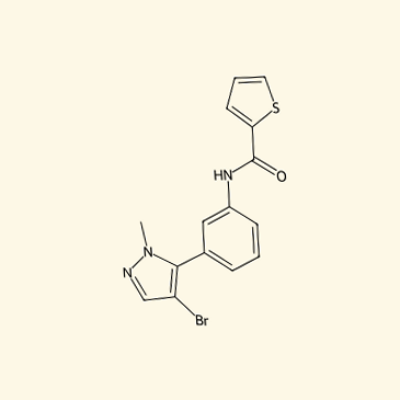 Cn1ncc(Br)c1-c1cccc(NC(=O)c2cccs2)c1